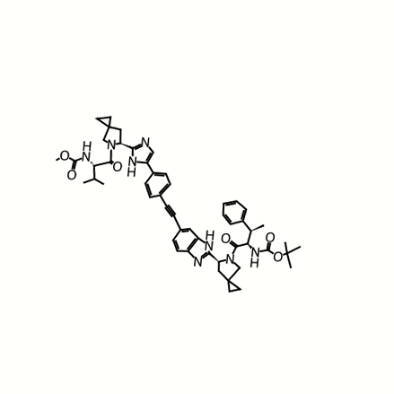 COC(=O)N[C@H](C(=O)N1CC2(CC2)C[C@H]1c1ncc(-c2ccc(C#Cc3ccc4nc([C@@H]5CC6(CC6)CN5C(=O)[C@H](NC(=O)OC(C)(C)C)[C@H](C)c5ccccc5)[nH]c4c3)cc2)[nH]1)C(C)C